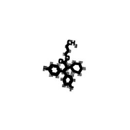 CCCCOC(=O)C(=C(c1ccc(F)cc1)c1ccc(F)cc1)C1CCCCC1